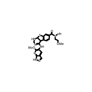 CCCN(CCOC)C(=O)c1ccc2c(c1)SC1NCN=C(Nc3cc4cn[nH]c4nc3OC)C21